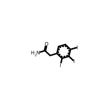 NC(=O)Cc1ccc(I)c(I)c1I